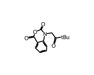 CC(C)(C)C(=O)Cn1c(=O)oc(=O)c2ccccc21